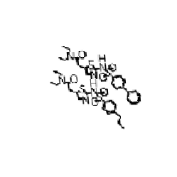 CCCc1ccc(S(=O)(=O)Nc2ncc(CC(=O)N(CC)CC)s2)cc1.CCN(CC)C(=O)Cc1cnc(NS(=O)(=O)c2ccc(-c3ccccc3)cc2)s1